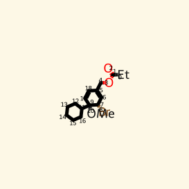 CCC(=O)OCC1=CC(Br)C(OC)(C2CCCCC2)C=C1